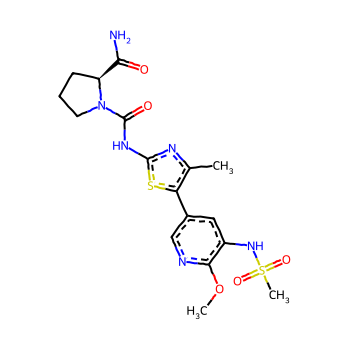 COc1ncc(-c2sc(NC(=O)N3CCC[C@H]3C(N)=O)nc2C)cc1NS(C)(=O)=O